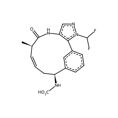 C[C@@H]1C=CC[C@H](NC(=O)O)c2cccc(c2)-c2c(cnn2C(F)F)NC1=O